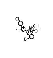 [2H]c1cc(OCc2c(Br)cccc2-n2nnn(C)c2=O)nn1-c1ccc(Cl)cc1